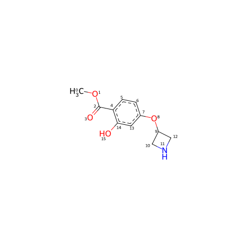 COC(=O)c1ccc(OC2CNC2)cc1O